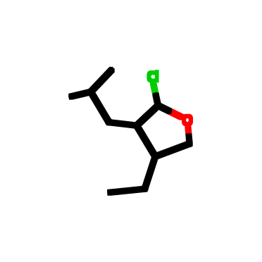 CCC1COC(Cl)C1CC(C)C